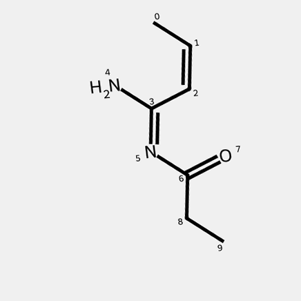 C/C=C\C(N)=N/C(=O)CC